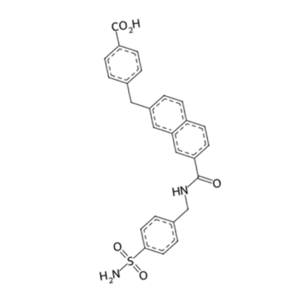 NS(=O)(=O)c1ccc(CNC(=O)c2ccc3ccc(Cc4ccc(C(=O)O)cc4)cc3c2)cc1